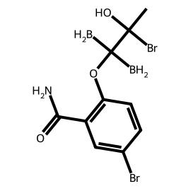 BC(B)(Oc1ccc(Br)cc1C(N)=O)C(C)(O)Br